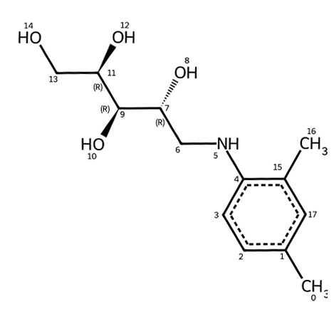 Cc1ccc(NC[C@@H](O)[C@@H](O)[C@H](O)CO)c(C)c1